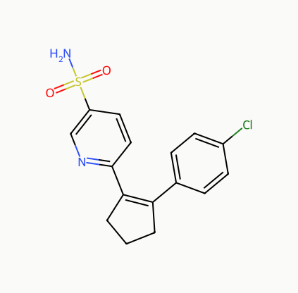 NS(=O)(=O)c1ccc(C2=C(c3ccc(Cl)cc3)CCC2)nc1